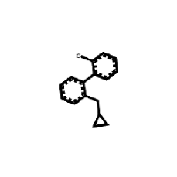 Clc1[c]cccc1-c1ccccc1CC1CC1